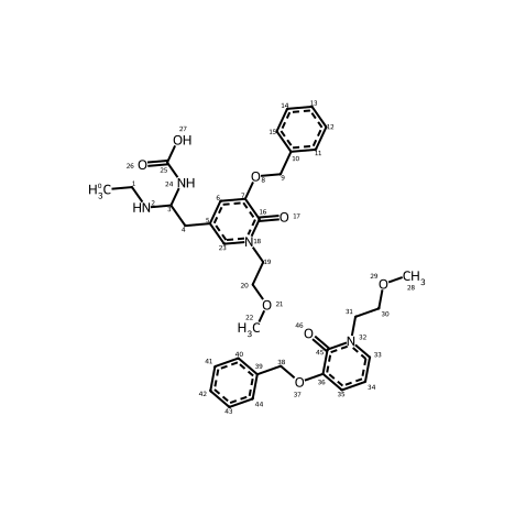 CCNC(Cc1cc(OCc2ccccc2)c(=O)n(CCOC)c1)NC(=O)O.COCCn1cccc(OCc2ccccc2)c1=O